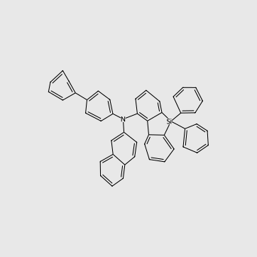 c1ccc(-c2ccc(N(c3ccc4ccccc4c3)c3cccc4c3-c3ccccc3[Si]4(c3ccccc3)c3ccccc3)cc2)cc1